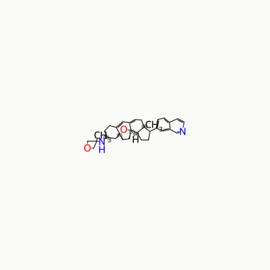 CC1(N[C@@H]2CCC3=CC4=CC[C@]5(C)C(c6ccc7ccncc7c6)CC[C@H]5[C@@]45CC[C@]3(C2)O5)COC1